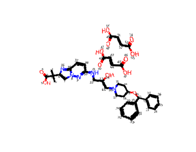 CC(C)(C(=O)O)c1cn2nc(NCC(O)CN3CCC(OC(c4ccccc4)c4ccccc4)CC3)ccc2n1.O=C(O)/C=C/C(=O)O.O=C(O)/C=C/C(=O)O